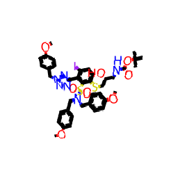 COc1ccc(CN(Cc2ccc(OC)cc2)S(=O)(=O)c2c(SC[C@@H](O)CNC(=O)OC(C)(C)C)ccc(I)c2-c2nnn(Cc3ccc(OC)cc3)n2)cc1